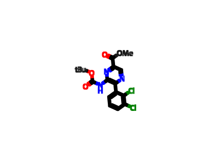 COC(=O)c1cnc(-c2cccc(Cl)c2Cl)c(NC(=O)OC(C)(C)C)n1